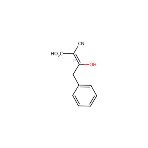 N#C/C(C(=O)O)=C(\O)Cc1ccccc1